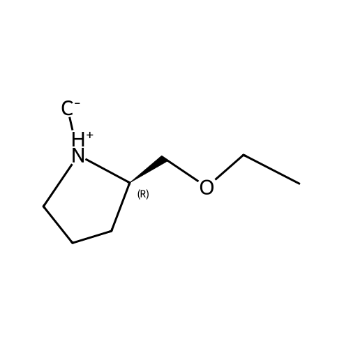 [CH2-][NH+]1CCC[C@@H]1COCC